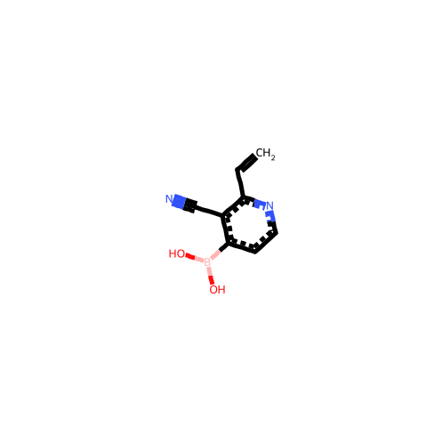 C=Cc1nccc(B(O)O)c1C#N